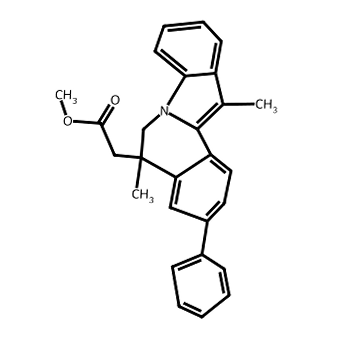 COC(=O)CC1(C)Cn2c(c(C)c3ccccc32)-c2ccc(-c3ccccc3)cc21